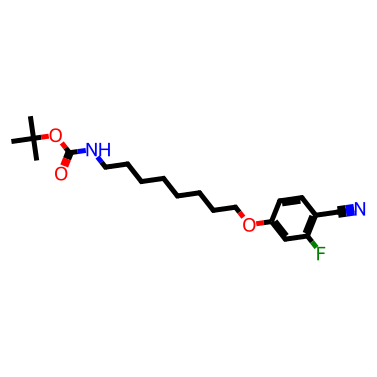 CC(C)(C)OC(=O)NCCCCCCCCOc1ccc(C#N)c(F)c1